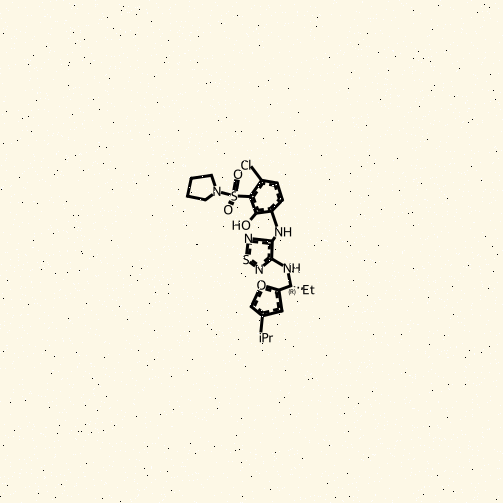 CC[C@@H](Nc1nsnc1Nc1ccc(Cl)c(S(=O)(=O)N2CCCC2)c1O)c1cc(C(C)C)co1